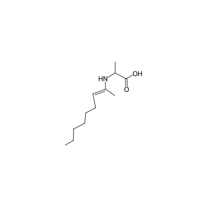 CCCCCC/C=C(\C)NC(C)C(=O)O